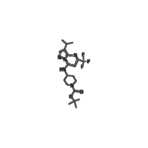 CC(C)c1cnn2c(NC3CCN(C(=O)OC(C)(C)C)CC3)cc(C(F)(F)F)nc12